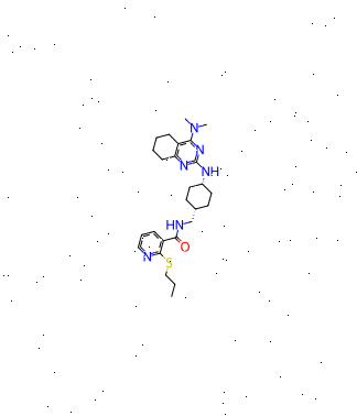 CCCSc1ncccc1C(=O)NC[C@H]1CC[C@@H](Nc2nc3c(c(N(C)C)n2)CCCC3)CC1